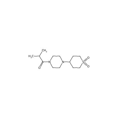 CC(C)C(=O)N1CCN(C2CCS(=O)(=O)CC2)CC1